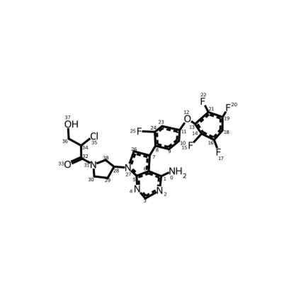 Nc1ncnc2c1c(-c1ccc(Oc3c(F)c(F)cc(F)c3F)cc1F)cn2C1CCN(C(=O)C(Cl)CO)C1